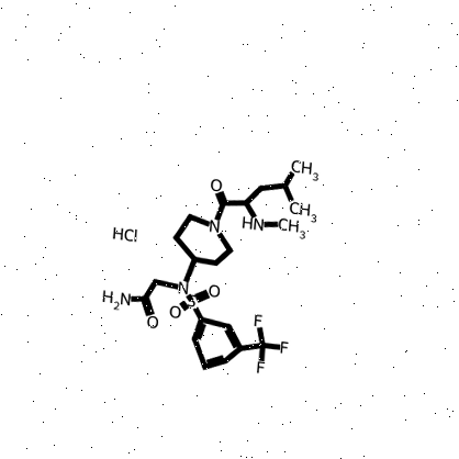 CNC(CC(C)C)C(=O)N1CCC(N(CC(N)=O)S(=O)(=O)c2cccc(C(F)(F)F)c2)CC1.Cl